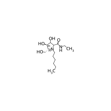 CCCCCCN1C(C(=O)NCC)C(O)[C@H](O)[C@H]1CO